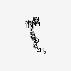 C=C/C=C\OCC(=O)N1CCC(CCCCN/C(=N\C#N)Nc2ccnnc2)CC1